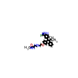 CNC(=O)/C=C/CNCCOc1ccc(/C(=C(\c2ccccc2)C(C)C)c2ccc3[nH]nc(F)c3c2)cc1